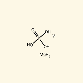 O=P(O)(O)O.[MgH2].[V]